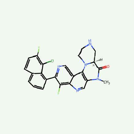 CN1C(=O)[C@@H]2CNCCN2c2c1cnc1c(F)c(-c3cccc4ccc(F)c(Cl)c34)ncc21